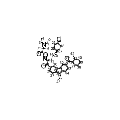 CCN(CC)C(C)(C)C(=O)O/N=C(\CCSc1ccc(Cl)cc1)C(=O)c1ccc2c(c1)c1cc(C(=O)c3ccccc3C)ccc1n2CC